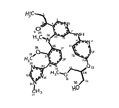 CCC(=O)c1cnc(Nc2ccc(OC(CO)COC)cn2)cc1N(C)c1cccc(-c2ncn(C)n2)c1OC